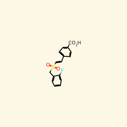 O=C(O)c1ccc(C=CS(=O)(=O)Cc2ccccc2F)cc1